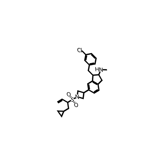 C=CC(CC1CC1)S(=O)(=O)N1CC(c2ccc3c(c2)C(Cc2cccc(Cl)c2)C(NC)C3)C1